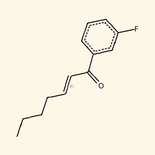 CCCC/C=C/C(=O)c1cccc(F)c1